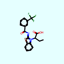 CCC(C(=O)O)n1c(=NC(=O)c2cccc(C(F)(F)F)c2)sc2ccccc21